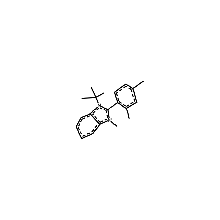 Cc1ccc(-c2n(C(C)(C)C)c3ccccc3[n+]2C)c(C)c1